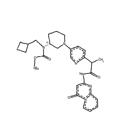 CC(C(=O)Nc1cc(=O)n2ccccc2n1)c1ccc(N2CCC[C@@H](N(CC3CCC3)C(=O)OC(C)(C)C)C2)cn1